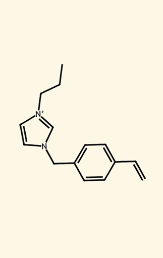 C=Cc1ccc(Cn2cc[n+](CCC)c2)cc1